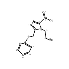 O=[N+]([O-])c1cnc(CSc2ccncc2)n1CCO